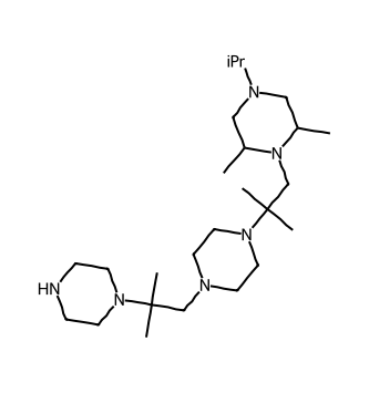 CC(C)N1CC(C)N(CC(C)(C)N2CCN(CC(C)(C)N3CCNCC3)CC2)C(C)C1